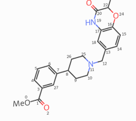 COC(=O)c1cccc(C2CCN(Cc3ccc4c(c3)NC(=O)C(C)O4)CC2)c1